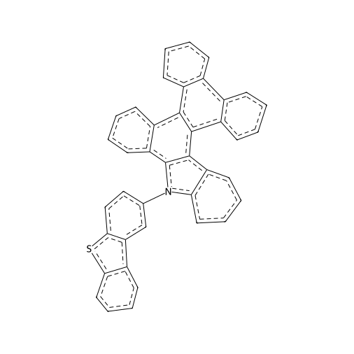 c1ccc2c(c1)sc1ccc(-n3c4ccccc4c4c5c6ccccc6c6ccccc6c5c5ccccc5c43)cc12